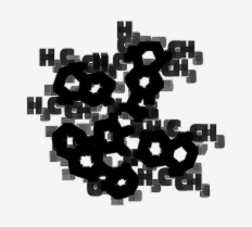 Cc1cc2c3c(c1)N(c1cccc4oc5cc6ccccc6cc5c14)c1cc4c(cc1B3c1sc3cc5c(cc3c1N2c1ccc2c(c1)C(C)(C)CCC2(C)C)C(C)(C)CCC5(C)C)C(C)(C)CCC4(C)C